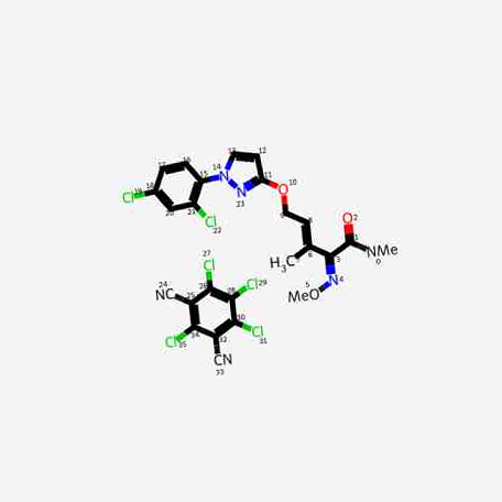 CNC(=O)C(=N/OC)/C(C)=C/COc1ccn(-c2ccc(Cl)cc2Cl)n1.N#Cc1c(Cl)c(Cl)c(Cl)c(C#N)c1Cl